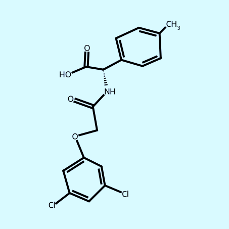 Cc1ccc([C@H](NC(=O)COc2cc(Cl)cc(Cl)c2)C(=O)O)cc1